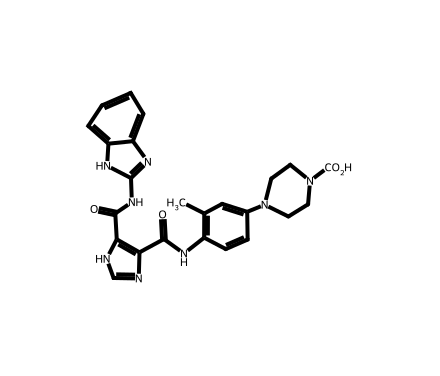 Cc1cc(N2CCN(C(=O)O)CC2)ccc1NC(=O)c1nc[nH]c1C(=O)Nc1nc2ccccc2[nH]1